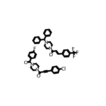 O=C(C#Cc1ccc(Cl)cc1)N1CCN(C(=O)c2ccc(F)cc2)CC1.O=C(C=Cc1ccc(C(F)(F)F)cc1)N1CCN(C(c2ccccc2)c2ccccc2)CC1